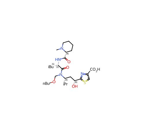 CCCCOCN(C(=O)[C@@H](NC(=O)[C@H]1CCCCN1C)[C@@H](C)CC)[C@H](C[C@@H](O)c1nc(C(=O)O)cs1)C(C)C